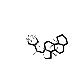 C[C@H](C(CN)CC(=O)O)[C@H]1CC[C@H]2[C@@H]3CCC4CCCC[C@]4(C)[C@H]3CC[C@]12C